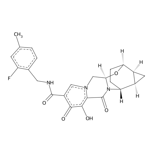 Cc1ccc(CNC(=O)c2cn3c(c(O)c2=O)C(=O)N2[C@@H]4CC[C@H](O[C@@H]2C3)[C@H]2C[C@H]24)c(F)c1